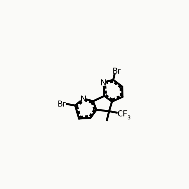 CC1(C(F)(F)F)c2ccc(Br)nc2-c2nc(Br)ccc21